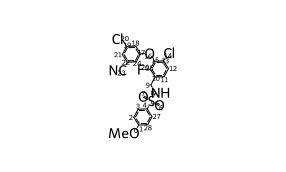 COc1ccc(S(=O)(=O)NCc2ccc(Cl)c(Oc3cc(Cl)cc(C#N)c3)c2F)cc1